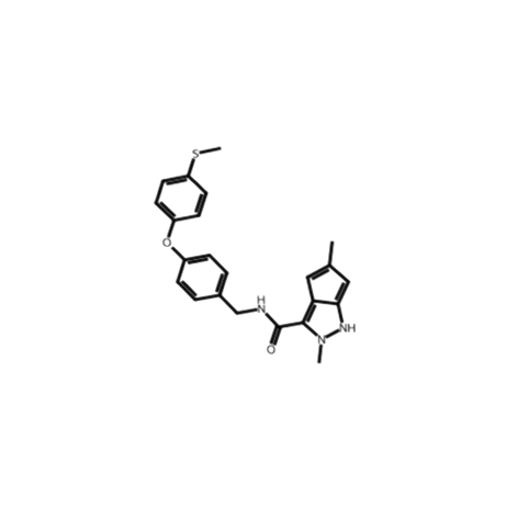 CSc1ccc(Oc2ccc(CNC(=O)c3c4cc(C)cc-4[nH]n3C)cc2)cc1